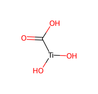 O=[C](O)[Ti]([OH])[OH]